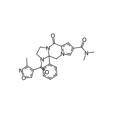 Cc1nocc1C(=O)N1CCN2C(=O)c3cc(C(=O)N(C)C)cn3CC12c1ccccc1